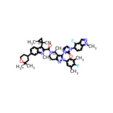 Cc1cc(-n2nc3c(c2-n2ccn(-c4ccc5c(cnn5C)c4F)c2=O)[C@H](C)N(C(=O)c2c(C4(C#N)C[C@@H]4C)c4ccc(C5CCOC(C)(C)C5)cc4n2C)CC3)cc(C)c1F